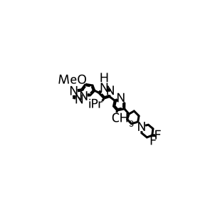 COc1cc(-c2[nH]nc(-c3cc(C)c(C4CCC(N5CCC(F)(F)CC5)CC4)cn3)c2C(C)C)cn2ncnc12